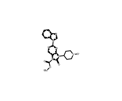 CC(C)(C)OC(=O)n1c(=O)n(C2CC[S+]([O-])CC2)c2nc(-n3cnc4ccccc43)ncc21